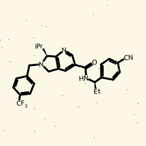 CC[C@@H](NC(=O)c1cnc2c(c1)CN(Cc1ccc(C(F)(F)F)cc1)[C@H]2C(C)C)c1ccc(C#N)cc1